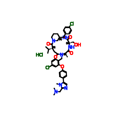 CC(C)[C@H]1CC(=O)N(Cc2ccc(Cl)cc2Oc2ccc(-c3cnc(CN(C)C)n3C)cc2)[C@@H](C)C(=O)N[C@@H](CO)C(=O)N[C@@]2(Cc3ccc(Cl)cc3)CCCN(C2)C1=O.Cl